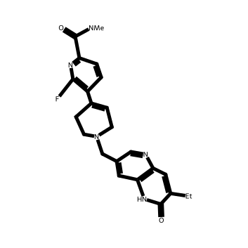 CCc1cc2ncc(CN3CC=C(c4ccc(C(=O)NC)nc4F)CC3)cc2[nH]c1=O